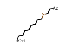 CCCCCCCCCCCCCCCCSCCC(C)=O